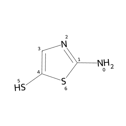 Nc1ncc(S)s1